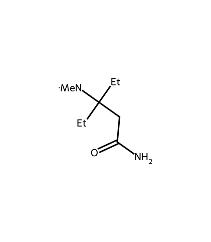 CCC(CC)(CC(N)=O)[N]C